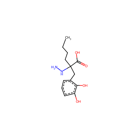 CCCCC(Cc1cccc(O)c1O)(NN)C(=O)O